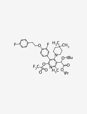 Cc1nc(OS(=O)(=O)C(F)(F)F)c(-c2ccc(OCCc3ccc(F)cc3)c(F)c2)c(N2CCC(C)(C)CC2)c1C(OC(C)(C)C)C(=O)OC(C)C